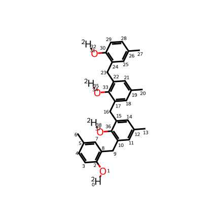 [2H]Oc1ccc(C)cc1Cc1cc(C)cc(Cc2cc(C)cc(Cc3cc(C)ccc3O[2H])c2O[2H])c1O[2H]